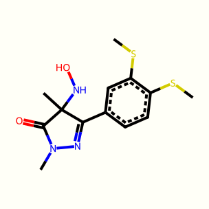 CSc1ccc(C2=NN(C)C(=O)C2(C)NO)cc1SC